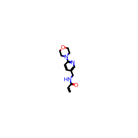 C=CC(=O)NCc1ccc(N2CCOCC2)nc1